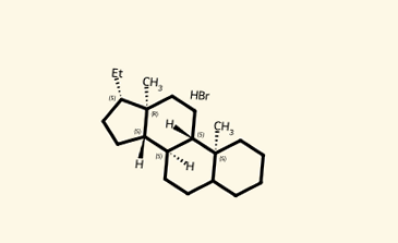 Br.CC[C@H]1CC[C@H]2[C@@H]3CCC4CCCC[C@]4(C)[C@H]3CC[C@]12C